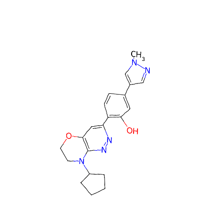 Cn1cc(-c2ccc(-c3cc4c(nn3)N(C3CCCC3)CCO4)c(O)c2)cn1